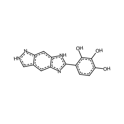 Oc1ccc(-c2nc3cc4c[nH]nc4cc3[nH]2)c(O)c1O